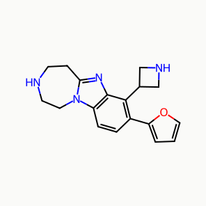 c1coc(-c2ccc3c(nc4n3CCNCC4)c2C2CNC2)c1